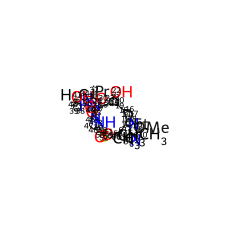 CCn1c(-c2cccnc2[C@H](C)OC)c2c3cc(ccc31)-c1cc(O)cc(c1)C[C@H](NC(=O)[C@H](C(C)C)N(C)C(=O)[C@@H]1CCC[C@H]1O)C(=O)N1CCC[C@@](C3=CS3)(N1)C(=O)OCC(C)(C)C2